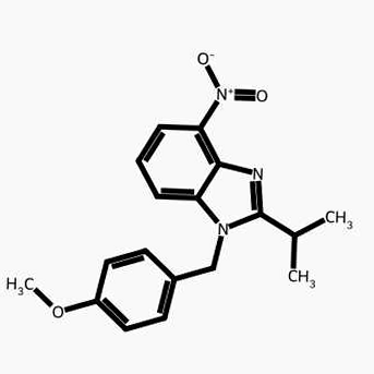 COc1ccc(Cn2c(C(C)C)nc3c([N+](=O)[O-])cccc32)cc1